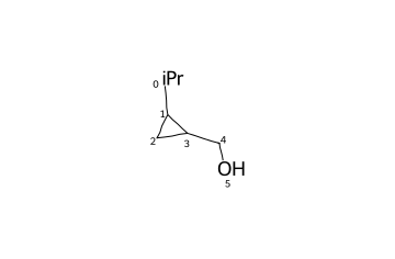 CC(C)C1CC1CO